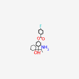 CC(N)C(C)(c1ccc(OC(=O)c2ccc(F)cc2)cc1)C1(O)CCCCC1